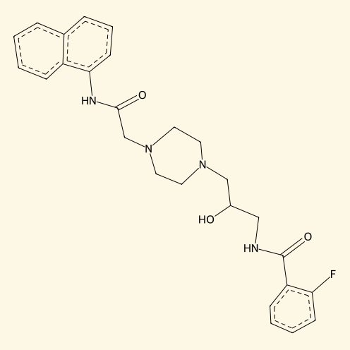 O=C(CN1CCN(CC(O)CNC(=O)c2ccccc2F)CC1)Nc1cccc2ccccc12